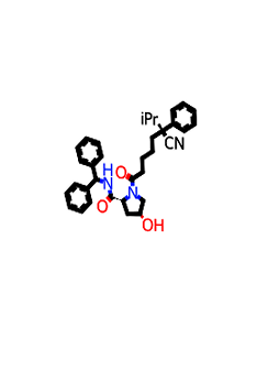 CC(C)[C@@](C#N)(CCCCC(=O)N1C[C@@H](O)C[C@@H]1C(=O)NC(c1ccccc1)c1ccccc1)c1ccccc1